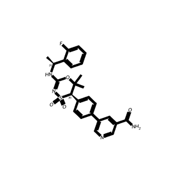 C[C@H](NC1=NS(=O)(=O)[C@H](c2ccc(-c3cncc(C(N)=O)c3)cc2)C(C)(C)O1)c1ccccc1F